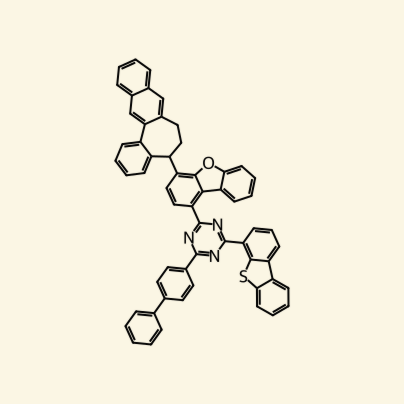 c1ccc(-c2ccc(-c3nc(-c4cccc5c4sc4ccccc45)nc(-c4ccc(C5CCc6cc7ccccc7cc6-c6ccccc65)c5oc6ccccc6c45)n3)cc2)cc1